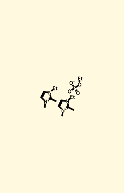 CCOP(=O)([O-])[O-].CCn1cc[n+](C)c1C.CCn1cc[n+](C)c1C